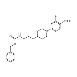 O=C(NCCCC1CCN(c2ccc(C(=O)O)c(Cl)c2)CC1)OCc1ccccc1